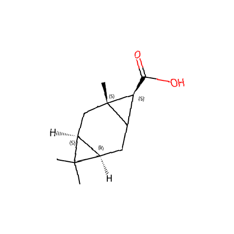 CC1(C)[C@@H]2CC3[C@H](C(=O)O)[C@@]3(C)C[C@@H]21